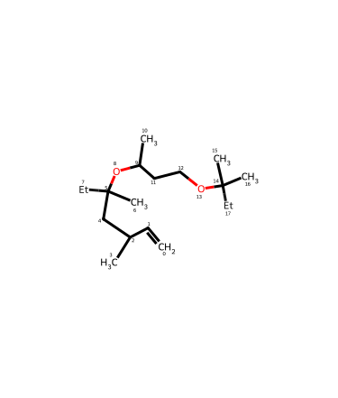 C=CC(C)CC(C)(CC)OC(C)CCOC(C)(C)CC